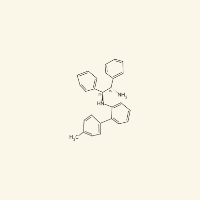 Cc1ccc(-c2ccccc2N[C@@H](c2ccccc2)[C@@H](N)c2ccccc2)cc1